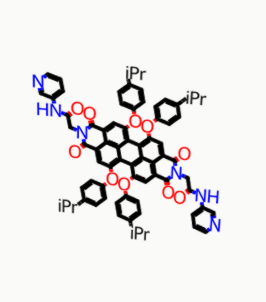 CC(C)c1ccc(Oc2cc3c4c(cc(Oc5ccc(C(C)C)cc5)c5c6c(Oc7ccc(C(C)C)cc7)cc7c8c(cc(Oc9ccc(C(C)C)cc9)c(c2c45)c86)C(=O)N(CC(=O)Nc2cccnc2)C7=O)C(=O)N(CC(=O)Nc2cccnc2)C3=O)cc1